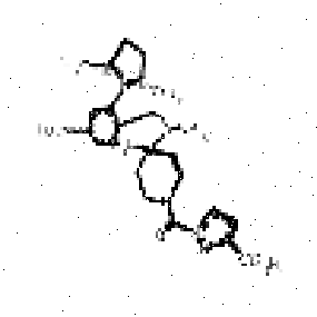 Cc1ccc(CN(C)C2(C)CCN(C(=O)n3ccc(C(=O)O)n3)CC2)c(N2[C@@H](C)CC[C@@H]2C)c1